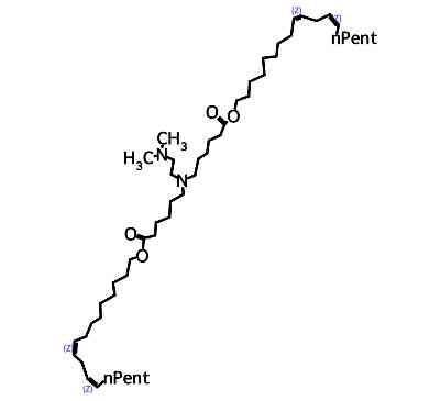 CCCCC/C=C\C/C=C\CCCCCCCCOC(=O)CCCCCN(CCCCCC(=O)OCCCCCCCC/C=C\C/C=C\CCCCC)CCN(C)C